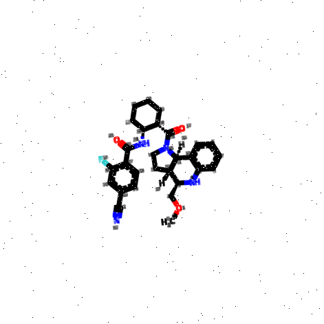 COC[C@@H]1Nc2ccccc2[C@H]2[C@H]1CCN2C(=O)[C@H]1CCCC[C@H]1NC(=O)c1ccc(C#N)cc1F